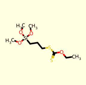 CCOC(=S)SCCC[Si](OC)(OC)OC